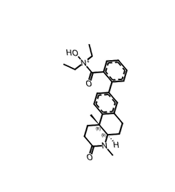 CC[N+](O)(CC)C(=O)c1ccccc1-c1ccc2c(c1)CC[C@H]1N(C)C(=O)CC[C@]21C